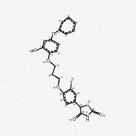 CCCc1cc(Oc2ccccc2)ccc1OCCCOc1ccc(C2SC(=O)NC2=O)cc1F